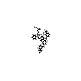 O=C(O)CCCNC(Cn1c(=O)c2c(n(Cc3c(F)cccc3C(F)(F)F)c1=O)CCC21CCN(Cc2cccc(C(F)(F)F)c2)CC1)c1ccccc1